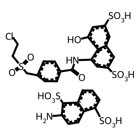 Nc1ccc2c(S(=O)(=O)O)cccc2c1S(=O)(=O)O.O=C(Nc1cc(S(=O)(=O)O)cc2cc(S(=O)(=O)O)cc(O)c12)c1ccc(CS(=O)(=O)CCCl)cc1